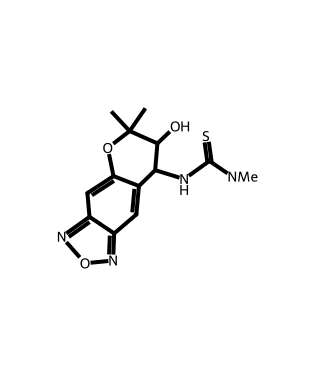 CNC(=S)NC1c2cc3nonc3cc2OC(C)(C)C1O